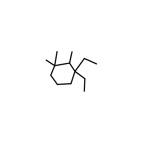 CCC1(CC)CCCC(C)(C)C1C